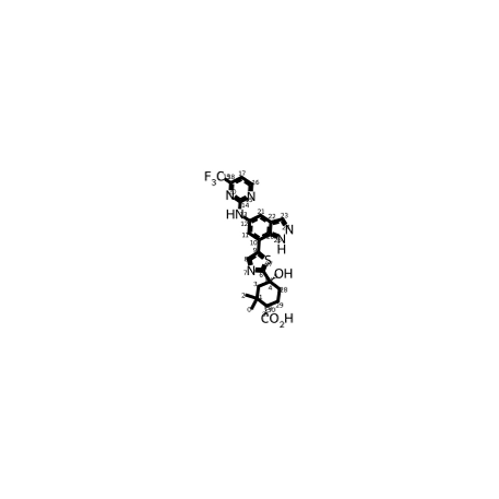 CC1(C)C[C@@](O)(c2ncc(-c3cc(Nc4nccc(C(F)(F)F)n4)cc4cn[nH]c34)s2)CC[C@@H]1C(=O)O